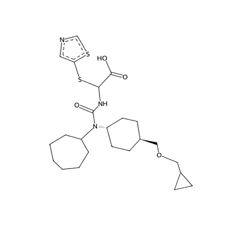 O=C(O)C(NC(=O)N(C1CCCCCC1)[C@H]1CC[C@H](COCC2CC2)CC1)Sc1cncs1